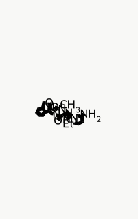 CCn1c(N2CCCC(N)C2)nc2c1c(=O)n(CC1=NOCc3ccccc31)c(=O)n2C